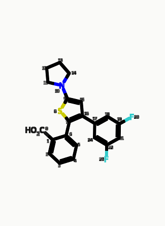 O=C(O)c1ccccc1-c1sc(N2CCCC2)cc1-c1cc(F)cc(F)c1